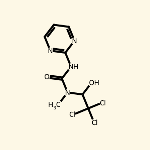 CN(C(=O)Nc1ncccn1)C(O)C(Cl)(Cl)Cl